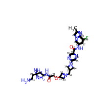 Cc1cn2cc(NC(=O)c3cnc(N4CC(CN5CC(OCC(=O)NCCC(N)(N)CCN)C5)C4)cn3)cc(F)c2n1